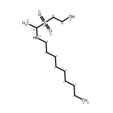 CCCCCCCCCNC(C)S(=O)(=O)CCO